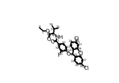 CCOC(=O)[C@H](NC(=O)c1ccc(OC(c2ccc(Cl)cc2)c2ccc(Cl)cc2Cl)c(F)c1)C(C)C